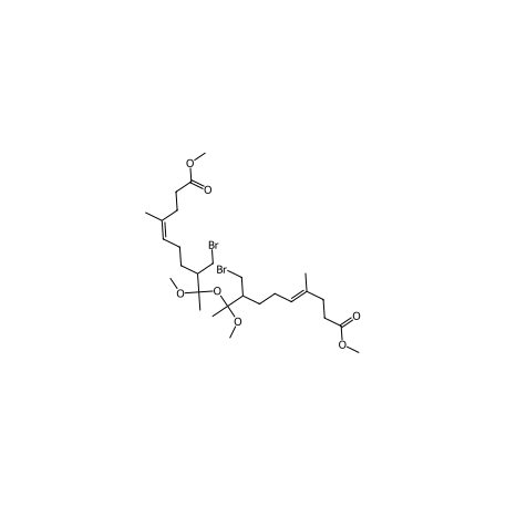 COC(=O)CCC(C)=CCCC(CBr)C(C)(OC)OC(C)(OC)C(CBr)CCC=C(C)CCC(=O)OC